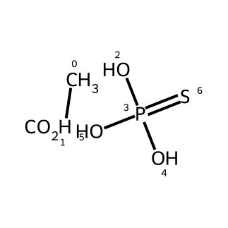 CC(=O)O.OP(O)(O)=S